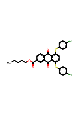 CCCCCOC(=O)c1ccc2c(c1)C(=O)c1c(Sc3ccc(Cl)cc3)ccc(Sc3ccc(Cl)cc3)c1C2=O